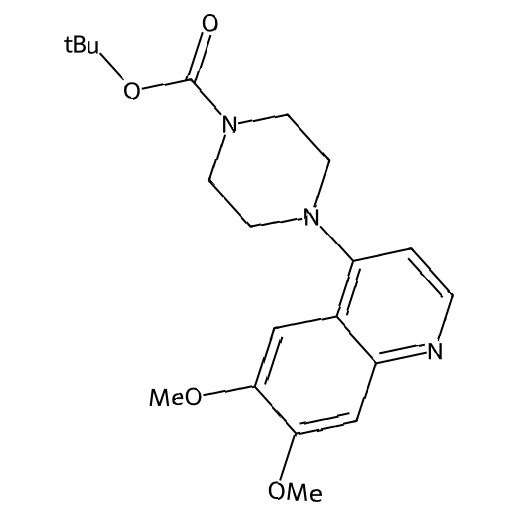 COc1cc2nccc(N3CCN(C(=O)OC(C)(C)C)CC3)c2cc1OC